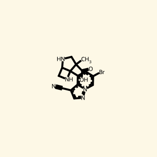 CC1(C(=O)O)CNC2CNC21c1cc(Br)cn2ncc(C#N)c12